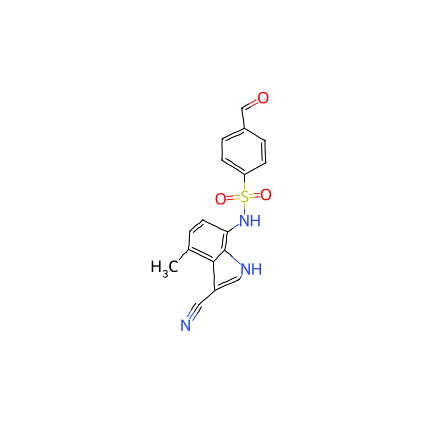 Cc1ccc(NS(=O)(=O)c2ccc(C=O)cc2)c2[nH]cc(C#N)c12